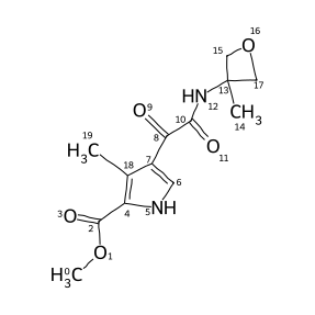 COC(=O)c1[nH]cc(C(=O)C(=O)NC2(C)COC2)c1C